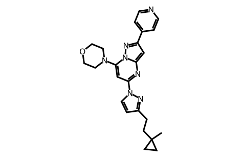 CC1(CCc2ccn(-c3cc(N4CCOCC4)n4nc(-c5ccncc5)cc4n3)n2)CC1